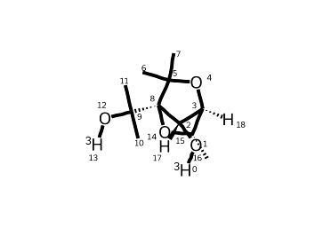 [3H]O[C@H]1[C@H]2OC(C)(C)[C@]1(C(C)(C)O[3H])O[C@H]2C